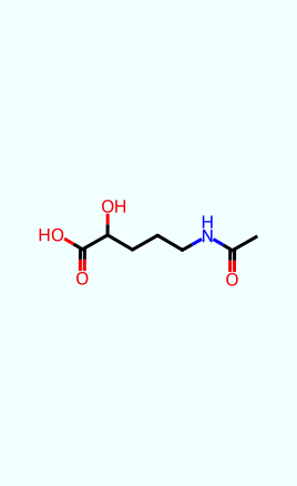 CC(=O)NCCCC(O)C(=O)O